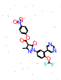 CC1=NN(c2ccc(OC(F)F)c(-c3cncnc3)c2)C(=O)C1C(=O)Oc1ccc([N+](=O)[O-])cc1